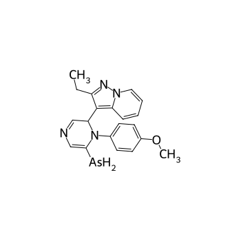 CCc1nn2ccccc2c1C1C=NC=C([AsH2])N1c1ccc(OC)cc1